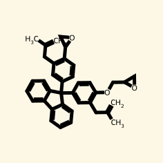 C=C(C)Cc1cc(C2(c3ccc(C4CO4)c(CC(=C)C)c3)c3ccccc3-c3ccccc32)ccc1OCC1CO1